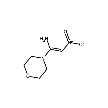 NC(=C[N+](=O)[O-])N1CCOCC1